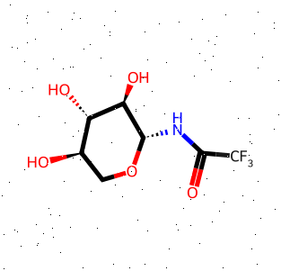 O=C(N[C@@H]1OC[C@@H](O)[C@H](O)[C@H]1O)C(F)(F)F